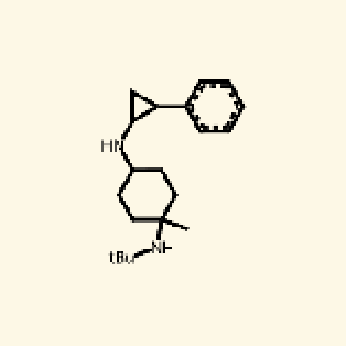 CC(C)(C)NC1(C)CCC(NC2CC2c2ccccc2)CC1